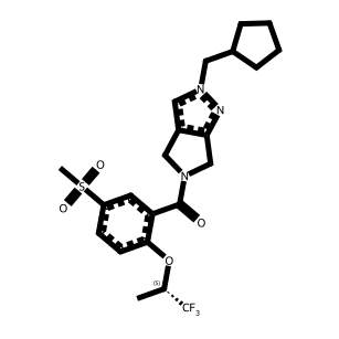 C[C@H](Oc1ccc(S(C)(=O)=O)cc1C(=O)N1Cc2cn(CC3CCCC3)nc2C1)C(F)(F)F